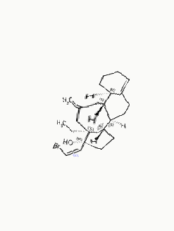 C=C1C[C@@]2(CC)[C@@H](CC[C@@]2(O)/C=C\Br)[C@@H]2CCC3=CCCC[C@@H]3[C@@H]12